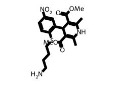 COC(=O)C1=C(C)NC(C)=C(C(=O)OC)C1c1cc([N+](=O)[O-])ccc1SCCCCN